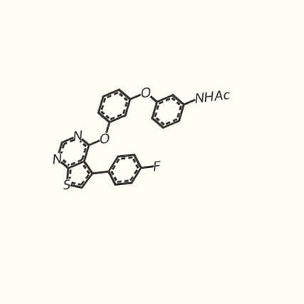 CC(=O)Nc1cccc(Oc2cccc(Oc3ncnc4scc(-c5ccc(F)cc5)c34)c2)c1